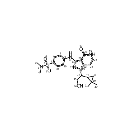 CN(C)S(=O)(=O)c1ccc(Nc2nn(C(CC#N)[C@H]3CC3(C)C)c3cc[nH]c(=O)c23)cc1